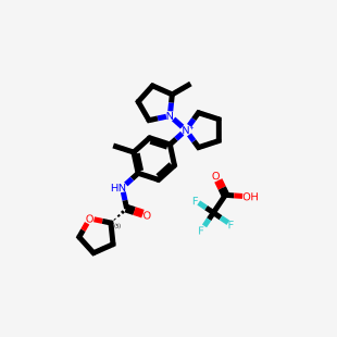 Cc1cc([N+]2(N3CCCC3C)CCCC2)ccc1NC(=O)[C@@H]1CCCO1.O=C(O)C(F)(F)F